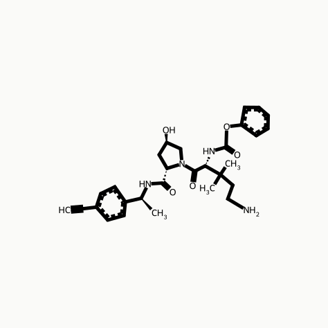 C#Cc1ccc([C@H](C)NC(=O)[C@@H]2C[C@@H](O)CN2C(=O)[C@H](NC(=O)Oc2ccccc2)C(C)(C)CCN)cc1